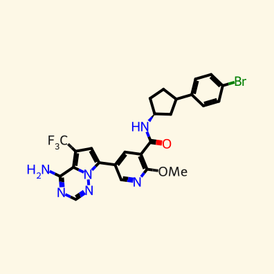 COc1ncc(-c2cc(C(F)(F)F)c3c(N)ncnn23)cc1C(=O)N[C@H]1CCC(c2ccc(Br)cc2)C1